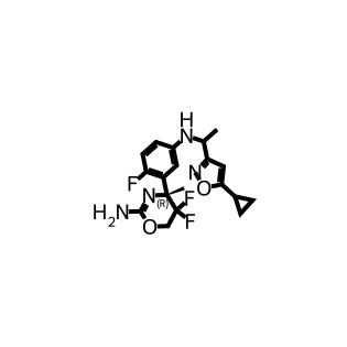 CC(Nc1ccc(F)c([C@@]2(C)N=C(N)OCC2(F)F)c1)c1cc(C2CC2)on1